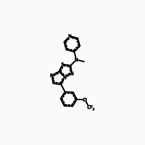 CN(c1ccncc1)c1nn2c(-c3cccc(OC(F)(F)F)c3)cnc2s1